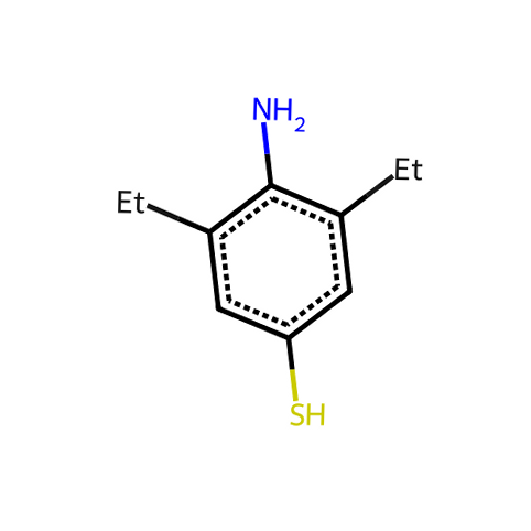 CCc1cc(S)cc(CC)c1N